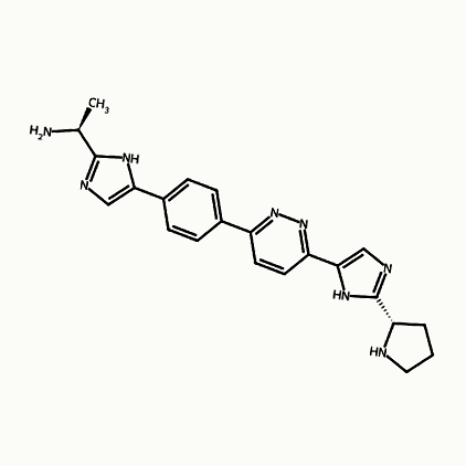 C[C@H](N)c1ncc(-c2ccc(-c3ccc(-c4cnc([C@@H]5CCCN5)[nH]4)nn3)cc2)[nH]1